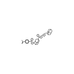 C=C(C)c1ccc(C(=O)OC2C3CC4CC2CC(C(=O)OCOCC2C5CC6CC(C5)CC2C6)(C4)C3)cc1